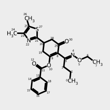 CCCC(=NOCC)C1=C(OC(=O)c2ccccc2)CC(c2nc(C)c(C)s2)CC1=O